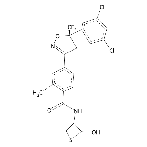 Cc1cc(C2=NO[C@@](c3cc(Cl)cc(Cl)c3)(C(F)(F)F)C2)ccc1C(=O)NC1CSC1O